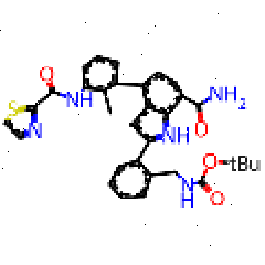 Cc1c(NC(=O)c2nccs2)cccc1-c1ccc(C(N)=O)c2[nH]c(-c3ccccc3CNC(=O)OC(C)(C)C)cc12